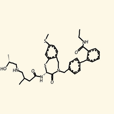 CCNC(=O)c1ccccc1-c1ccc(CN2Cc3ccc(SC)cc3S[C@@H](NC(=O)CC(C)CNC[C@@H](C)O)C2=O)cc1